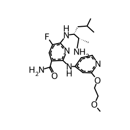 COCCOc1cc(Nc2nc(N[C@H](CC(C)C)[C@H](C)N)c(F)cc2C(N)=O)ccn1